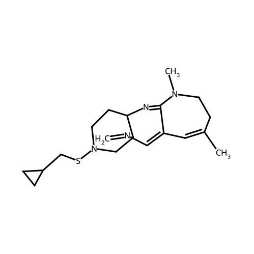 C=N/C=C1/C=C(C)CCN(C)/C1=N/C1CCN(SCC2CC2)CC1